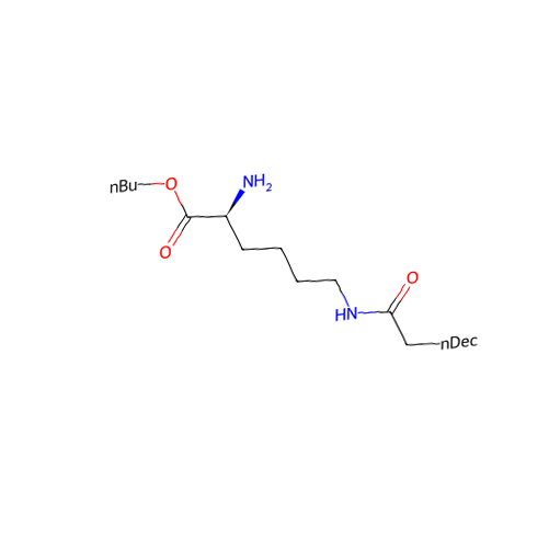 CCCCCCCCCCCC(=O)NCCCC[C@H](N)C(=O)OCCCC